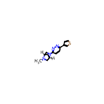 CN1C[C@@H]2C[C@H]1CN2c1ccc(-c2ccsc2)nn1